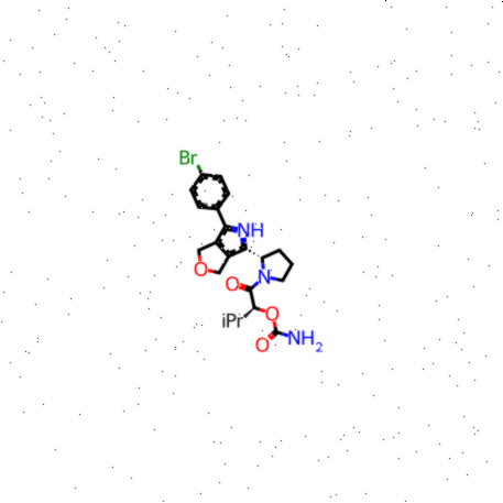 CC(C)[C@H](OC(N)=O)C(=O)N1CCC[C@H]1c1[nH]c(-c2ccc(Br)cc2)c2c1COC2